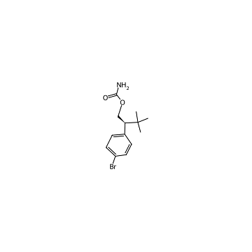 CC(C)(C)[C@H](COC(N)=O)c1ccc(Br)cc1